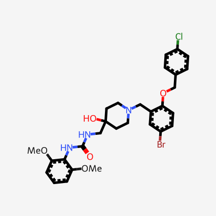 COc1cccc(OC)c1NC(=O)NCC1(O)CCN(Cc2cc(Br)ccc2OCc2ccc(Cl)cc2)CC1